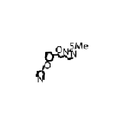 CSc1nccc(CC(=O)c2cccc(OCc3ccncc3)c2)n1